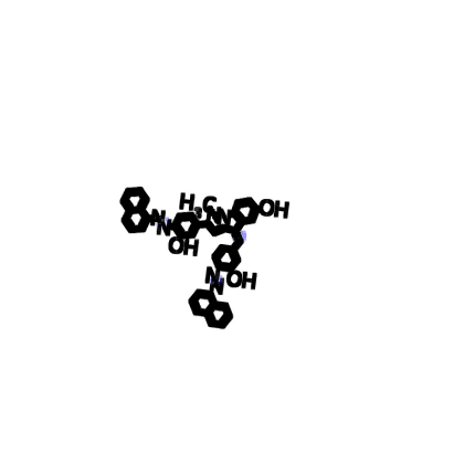 CN1C(c2ccc(/N=N/c3cccc4ccccc34)c(O)c2)C=c2/c(=C\c3ccc(/N=N/c4cccc5ccccc45)c(O)c3)c3cc(O)ccc3n21